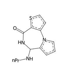 CCCNC1NC(=O)c2sccc2-n2cccc21